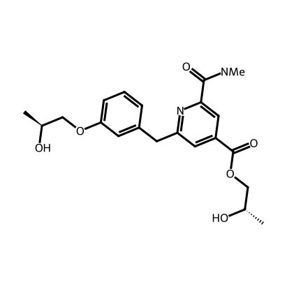 CNC(=O)c1cc(C(=O)OC[C@H](C)O)cc(Cc2cccc(OC[C@H](C)O)c2)n1